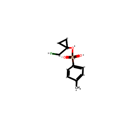 Cc1ccc(S(=O)(=O)OC2(CF)CC2)cc1